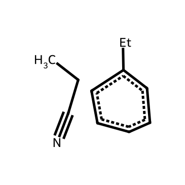 CCC#N.CCc1ccccc1